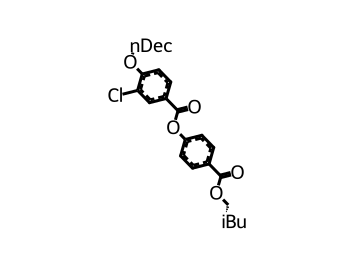 CCCCCCCCCCOc1ccc(C(=O)Oc2ccc(C(=O)OC[C@@H](C)CC)cc2)cc1Cl